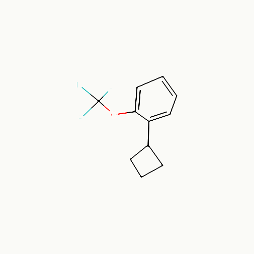 FC(F)(F)Oc1ccccc1[C]1CCC1